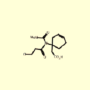 CNC(=O)N(C(=O)CCCl)C1(CC(=O)O)CC=CCC1